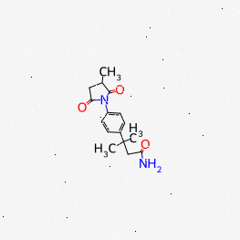 CC1CC(=O)N(c2ccc(C(C)(C)CC(N)=O)cc2)C1=O